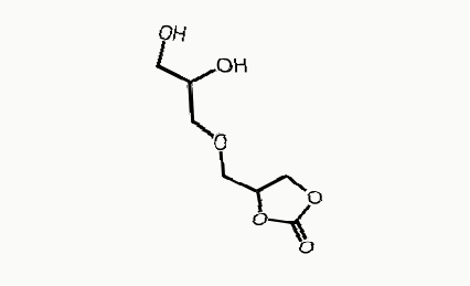 O=C1OCC(COCC(O)CO)O1